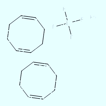 C1=CCCC=CCC1.C1=CCCC=CCC1.F[B-](F)(F)F.[Rh+]